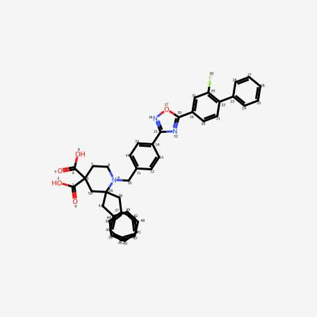 O=C(O)C1(C(=O)O)CCN(Cc2ccc(-c3noc(-c4ccc(-c5ccccc5)c(F)c4)n3)cc2)C(Cc2ccccc2)(Cc2ccccc2)C1